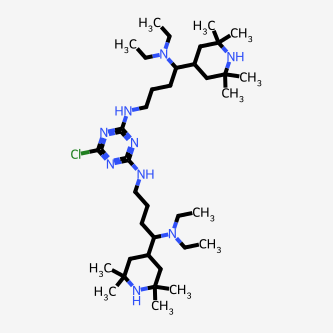 CCN(CC)C(CCCNc1nc(Cl)nc(NCCCC(C2CC(C)(C)NC(C)(C)C2)N(CC)CC)n1)C1CC(C)(C)NC(C)(C)C1